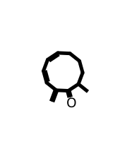 C=C1/C=C\C=C/CCCC(C)C1=O